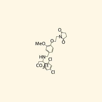 CCOC(=O)CC(NCc1ccc(OCCN2C(=O)CCC2=O)c(OC)c1)c1ccc(Cl)cc1Cl